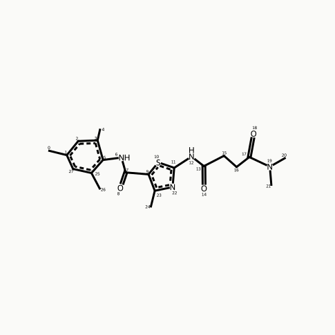 Cc1cc(C)c(NC(=O)c2sc(NC(=O)CCC(=O)N(C)C)nc2C)c(C)c1